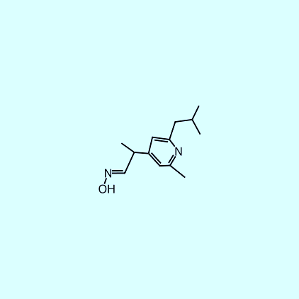 Cc1cc(C(C)C=NO)cc(CC(C)C)n1